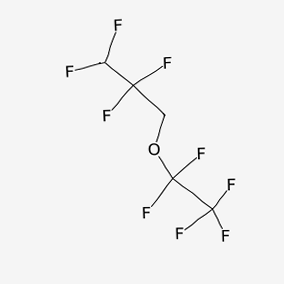 F[C](F)C(F)(F)COC(F)(F)C(F)(F)F